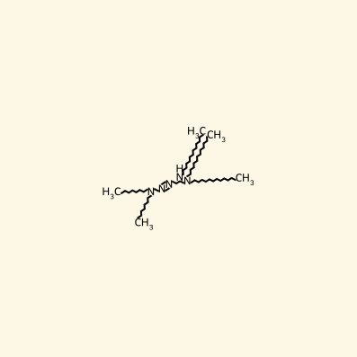 CCCCCCCCCCCCCCNC(CCN1CCN(CCN(CCCCCCCCC)CCCCCCCCC)CC1)CN(CCCCCCCCCCCCCC)CCCCCCCCCCCCCC